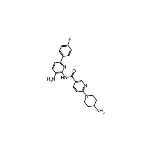 Nc1ccc(-c2ccc(F)cc2)nc1NC(=O)c1ccc(N2CCC(N)CC2)nc1